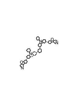 C1=CC(c2cccc(-c3ccc4c(c3)c3cc(-c5ccc6c(c5)oc5ccncc56)ccc3n4-c3ccccc3)c2)C=CC2=C1Cc1cc(-c3ccc4c(c3)oc3ccncc34)ccc1N2c1ccccc1